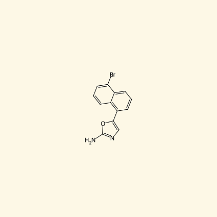 Nc1ncc(-c2cccc3c(Br)cccc23)o1